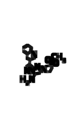 CS(=O)(=O)C1CCCN(c2cc(N)n3ncc(-c4cnc5ccccc5c4)c3n2)C1